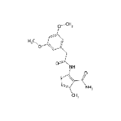 COc1cc(CC(=O)Nc2scc(C)c2C(N)=O)cc(OC)c1